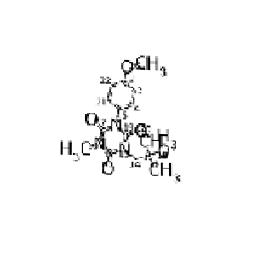 COc1ccc(-n2c(=O)n(C)c(=O)n(CC(C)(C)C)c2=O)cc1